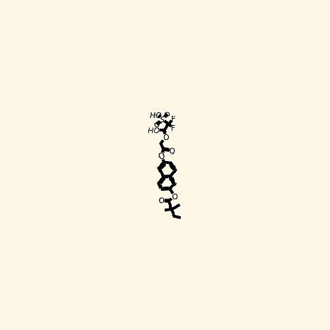 CCC(C)(C)C(=O)Oc1ccc2cc(OC(=O)COC(O)C(F)(F)S(=O)(=O)O)ccc2c1